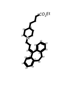 CCOC(=O)CCCC1CCN(CCC=C2c3ccccc3CCc3ccccc32)CC1